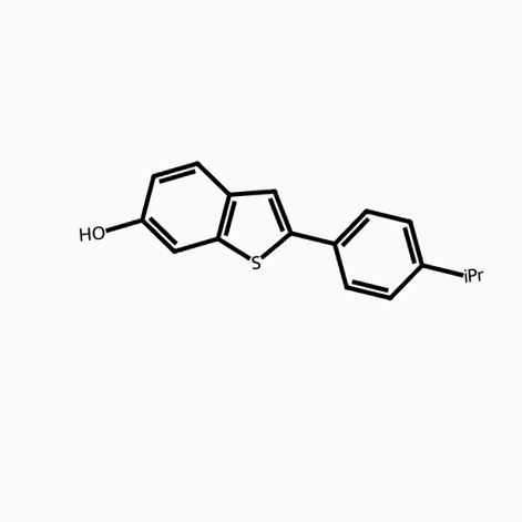 CC(C)c1ccc(-c2cc3ccc(O)cc3s2)cc1